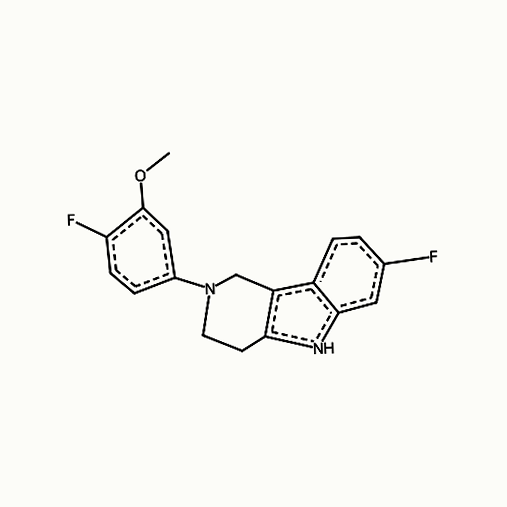 COc1cc(N2CCc3[nH]c4cc(F)ccc4c3C2)ccc1F